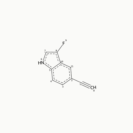 C#Cc1ccc2[nH][c]c(F)c2c1